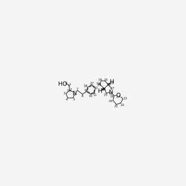 OC[C@@H]1CCCN1CCc1ccc([C@@H]2CC[C@@H]3CN(C4C[C]CCO4)C[C@@H]32)cc1